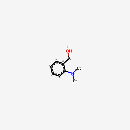 CCN(CC)c1ccccc1CO